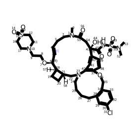 CN1CC/C=C/[C@H](OCCN2CCS(=O)(=O)CC2)[C@@H]2CC[C@H]2CN2CCCCc3cc(Cl)ccc3COc3ccc(cc32)[C@@](O)(C(=O)NS(=O)(=O)N(C)C)CC1=O